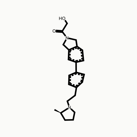 C[C@@H]1CCCN1CCc1ccc(-c2ccc3c(c2)CN(C(=O)CO)C3)cc1